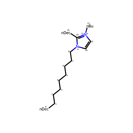 CCCCCCCCCCCCCCCCCCn1cc[n+](CCCC)c1CCCCCCCCCC